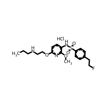 CCCNCCOc1ccc(NS(=O)(=O)c2ccc(CCF)cc2)c(OC)n1.Cl